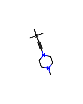 CN1CCN(C#C[Si](C)(C)C)CC1